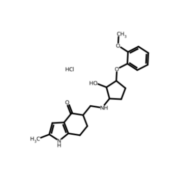 COc1ccccc1OC1CCC(NCC2CCc3[nH]c(C)cc3C2=O)C1O.Cl